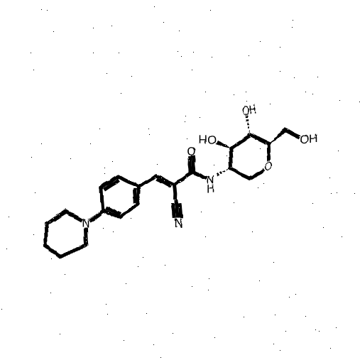 N#C/C(=C\c1ccc(N2CCCCC2)cc1)C(=O)N[C@H]1CO[C@H](CO)[C@@H](O)[C@@H]1O